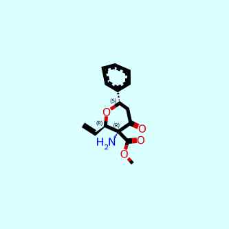 C=C[C@H]1O[C@H](c2ccccc2)CC(=O)[C@@]1(N)C(=O)OC